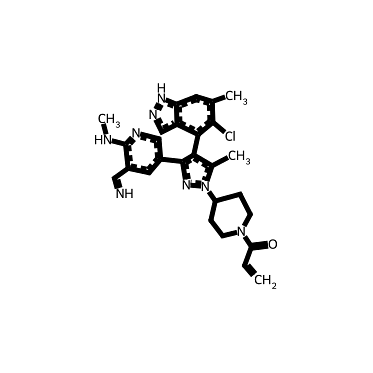 C=CC(=O)N1CCC(n2nc(-c3cnc(NC)c(C=N)c3)c(-c3c(Cl)c(C)cc4[nH]ncc34)c2C)CC1